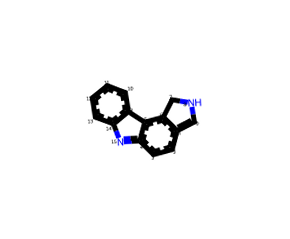 C1=c2ccc3c(c2CN1)-c1ccccc1N=3